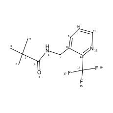 CC(C)(C)C(=O)NCc1cccnc1C(F)(F)F